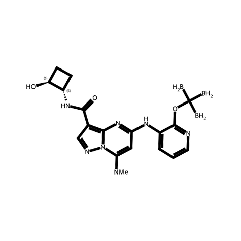 BC(B)(B)Oc1ncccc1Nc1cc(NC)n2ncc(C(=O)N[C@H]3CC[C@@H]3O)c2n1